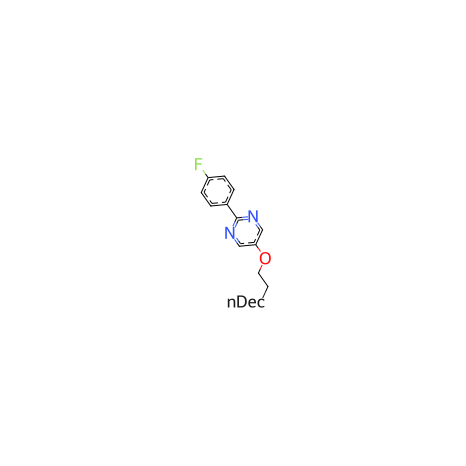 CCCCCCCCCCCCOc1cnc(-c2ccc(F)cc2)nc1